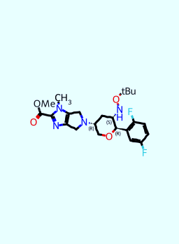 COC(=O)c1nc2c(n1C)CN([C@H]1CO[C@H](c3cc(F)ccc3F)[C@@H](NOC(C)(C)C)C1)C2